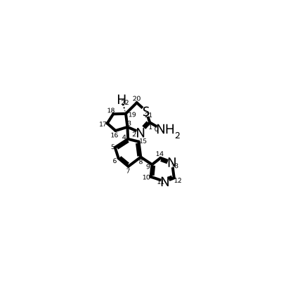 NC1=NC2(c3cccc(-c4cncnc4)c3)CCC[C@H]2CS1